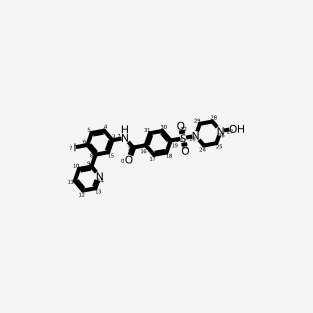 O=C(Nc1ccc(I)c(-c2ccccn2)c1)c1ccc(S(=O)(=O)N2CCN(O)CC2)cc1